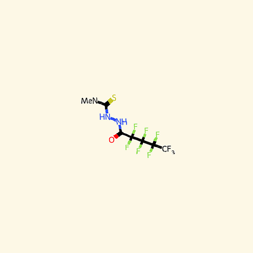 CNC(=S)NNC(=O)C(F)(F)C(F)(F)C(F)(F)C(F)(F)F